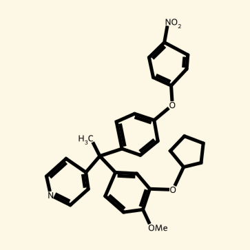 COc1ccc(C(C)(c2ccncc2)c2ccc(Oc3ccc([N+](=O)[O-])cc3)cc2)cc1OC1CCCC1